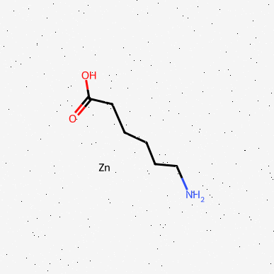 NCCCCCC(=O)O.[Zn]